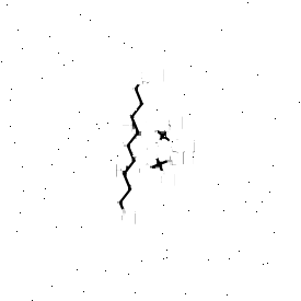 CC(C)(C)OC(C)(C)C.CCCCCCCCCCC